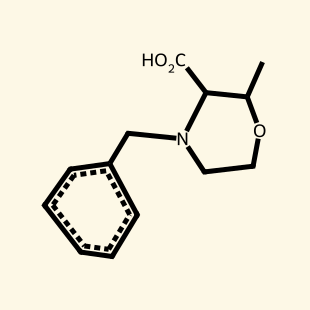 CC1OCCN(Cc2ccccc2)C1C(=O)O